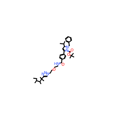 CCC(C)C(C)C(C)(C)c1cn(CCOCCNC(=O)c2ccc(C3=CC(C(C)C)N(Cc4ccccc4)N3C(=O)OC(C)(C)C)cc2)nn1